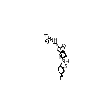 CCC(=O)NCCN1Cc2nc(NCc3ccc(F)cc3F)ccc2C1=O